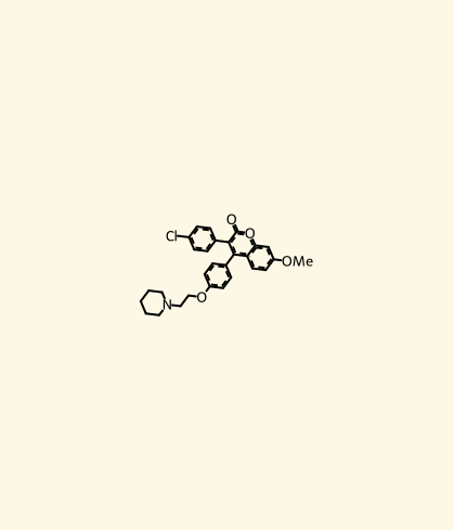 COc1ccc2c(-c3ccc(OCCN4CCCCC4)cc3)c(-c3ccc(Cl)cc3)c(=O)oc2c1